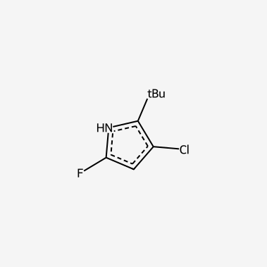 CC(C)(C)c1[nH]c(F)cc1Cl